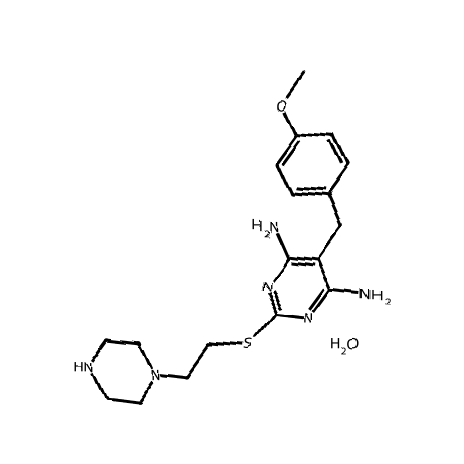 COc1ccc(Cc2c(N)nc(SCCN3CCNCC3)nc2N)cc1.O